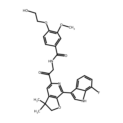 COc1cc(C(=O)NCC(=O)c2cc3c(c(-c4c[nH]c5c(F)cccc45)n2)OCC3(C)C)ccc1OCCO